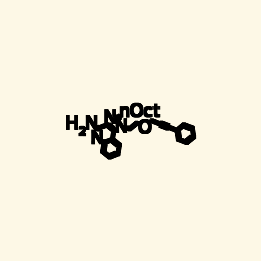 CCCCCCCCc1nc2c(N)nc3ccccc3c2n1CCOCC#Cc1ccccc1